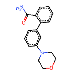 NC(=O)c1ccccc1-c1cccc(N2CCOCC2)c1